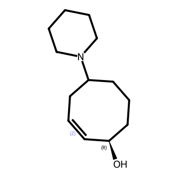 O[C@H]1/C=C\CC(N2CCCCC2)CCC1